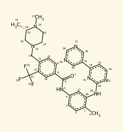 Cc1ccc(NC(=O)c2ccc(CN3CCN(C)[C@@H](C)C3)c(C(F)(F)F)c2)cc1Nc1nccc(-c2cncnc2)n1